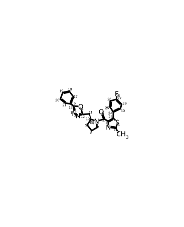 Cc1nc(C(=O)N2CCC[C@H]2Cc2nnc(-c3ccccc3)o2)c(-c2ccc(F)cc2)s1